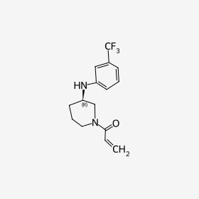 C=CC(=O)N1CCC[C@@H](Nc2cccc(C(F)(F)F)c2)C1